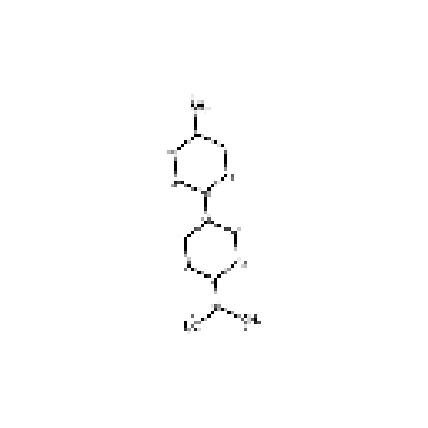 BC1CCC(C2CCC(C(C)C)CC2)CC1